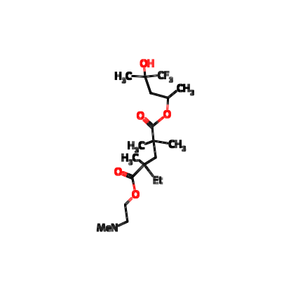 CCC(C)(CC(C)(C)C(=O)OC(C)CC(C)(O)C(F)(F)F)C(=O)OCCNC